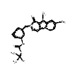 Cc1ccc2c3cnn(Cc4cccc(NC(=O)OC(C)(C)C)c4)c(=O)c3n(C)c2c1